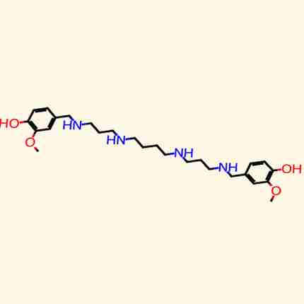 COc1cc(CNCCCNCCCCNCCCNCc2ccc(O)c(OC)c2)ccc1O